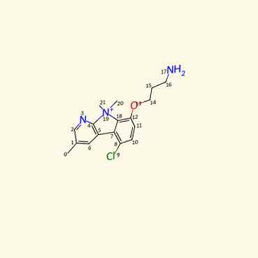 Cc1cnc2c(c1)-c1c(Cl)ccc(OCCCN)c1[N+]2(C)C